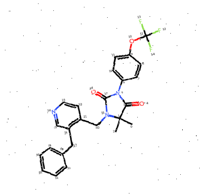 CC1(C)C(=O)N(c2ccc(OC(F)(F)F)cc2)C(=O)N1Cc1ccncc1Cc1ccccc1